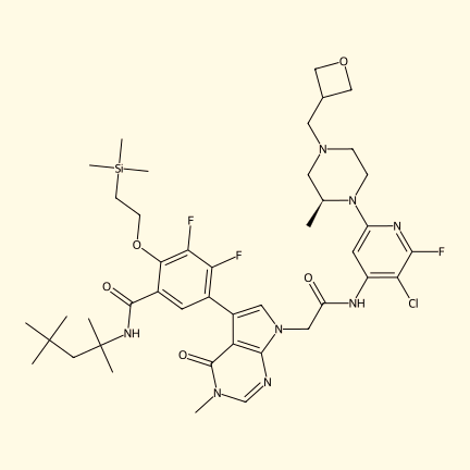 C[C@H]1CN(CC2COC2)CCN1c1cc(NC(=O)Cn2cc(-c3cc(C(=O)NC(C)(C)CC(C)(C)C)c(OCC[Si](C)(C)C)c(F)c3F)c3c(=O)n(C)cnc32)c(Cl)c(F)n1